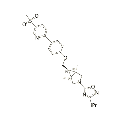 CC(C)c1noc(N2C[C@@]3(C)[C@@H](COc4ccc(-c5ccc(S(C)(=O)=O)cn5)cc4)[C@@]3(C)C2)n1